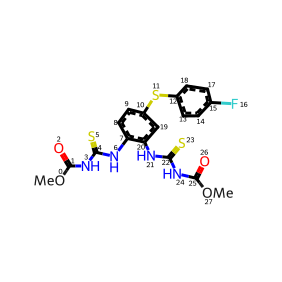 COC(=O)NC(=S)Nc1ccc(Sc2ccc(F)cc2)cc1NC(=S)NC(=O)OC